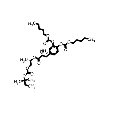 CCCCCOC(=O)Oc1ccc(C[C@H](N)C(=O)O[C@@H](C)COC(=O)OC(C)(C)CC)cc1OC(=O)OCCCCC